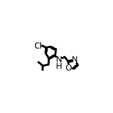 CC(C)Cc1cc(Cl)ccc1NCc1ncco1